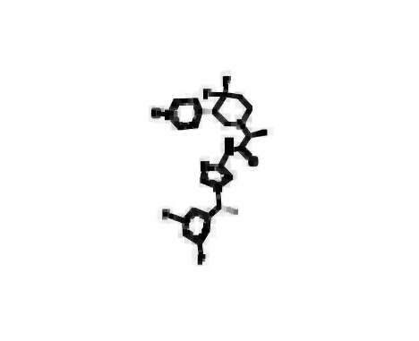 C[C@H](c1cc(F)cc(F)c1)n1cnc(NC(=O)[C@H](C)N2CCC(F)(F)[C@@H](c3cc[n+]([O-])cc3)C2)c1